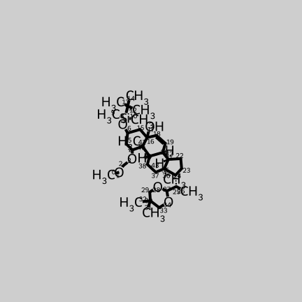 COCOC1CC(O[Si](C)(C)C(C)(C)C)CC2(O)C=C[C@H]3[C@@H]4CC[C@H](C(C)C5OCC(C)(C)CO5)[C@@]4(C)CC[C@@H]3[C@@]12C